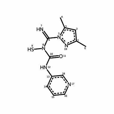 Cc1cc(C)n(C(=N)N(S)C(=O)Nc2cccnc2)n1